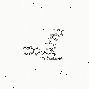 COc1ccc(-c2ccc3nc(NC(C)=O)nc(N4CCN(CC(=O)Nc5cccnc5)CC4)c3n2)cc1OC